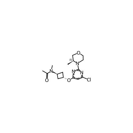 CC(=O)N(C)[C@H]1C[C@H](Oc2cc(Cl)nc(N3CCOC[C@@H]3C)n2)C1